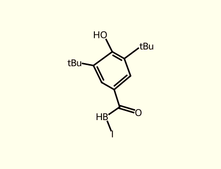 CC(C)(C)c1cc(C(=O)BI)cc(C(C)(C)C)c1O